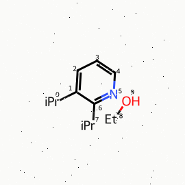 CC(C)c1cccnc1C(C)C.CCO